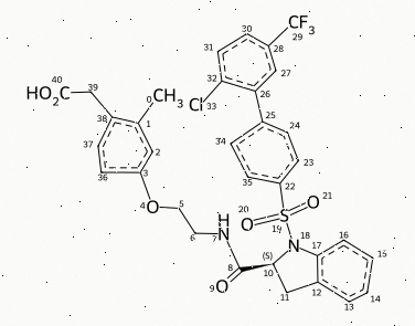 Cc1cc(OCCNC(=O)[C@@H]2Cc3ccccc3N2S(=O)(=O)c2ccc(-c3cc(C(F)(F)F)ccc3Cl)cc2)ccc1CC(=O)O